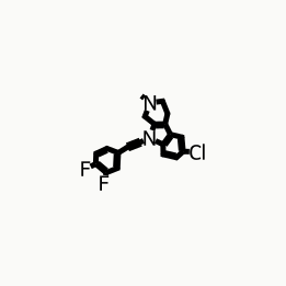 CN1CCc2c(n(C#Cc3ccc(F)c(F)c3)c3ccc(Cl)cc23)C1